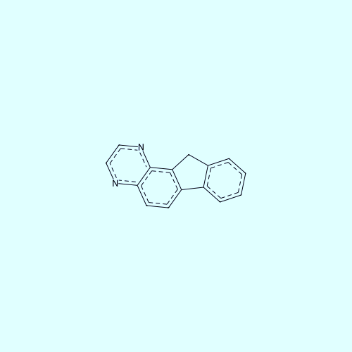 c1ccc2c(c1)Cc1c-2ccc2nccnc12